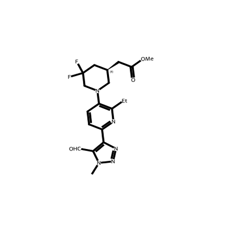 CCc1nc(-c2nnn(C)c2C=O)ccc1N1C[C@H](CC(=O)OC)CC(F)(F)C1